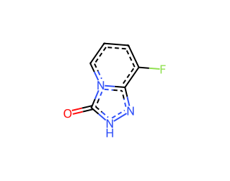 O=c1[nH]nc2c(F)cccn12